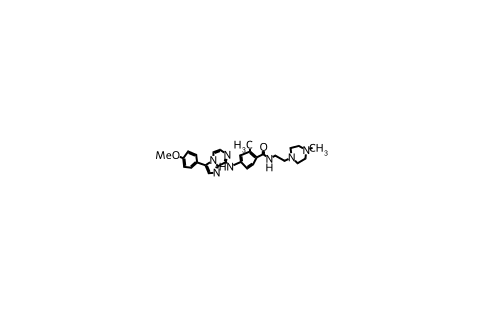 COc1ccc(-c2cnc3c(Nc4ccc(C(=O)NCCN5CCN(C)CC5)c(C)c4)nccn23)cc1